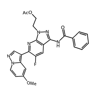 COc1ccn2ncc(-c3nc4c(cc3F)c(NC(=O)c3ccccc3)nn4CCOC(C)=O)c2c1